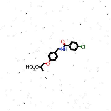 CC(COc1ccc(CNC(=O)c2ccc(Cl)cc2)cc1)C(=O)O